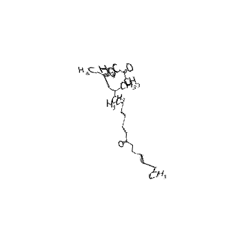 CC(=O)CC(C)C.CC(C)=O.CCCCCCC(=O)CCCCCC